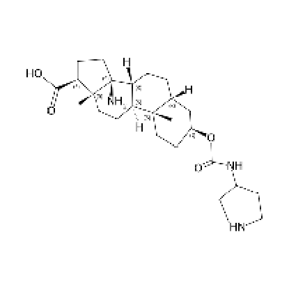 C[C@]12CC[C@H](OC(=O)NC3CCNCC3)C[C@H]1CC[C@@H]1[C@@H]2CC[C@]2(C)[C@@H](C(=O)O)CC[C@]12N